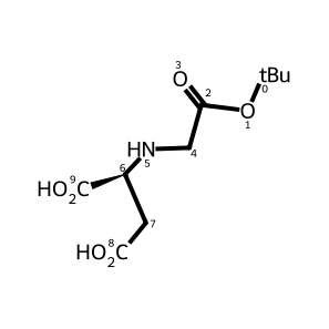 CC(C)(C)OC(=O)CN[C@@H](CC(=O)O)C(=O)O